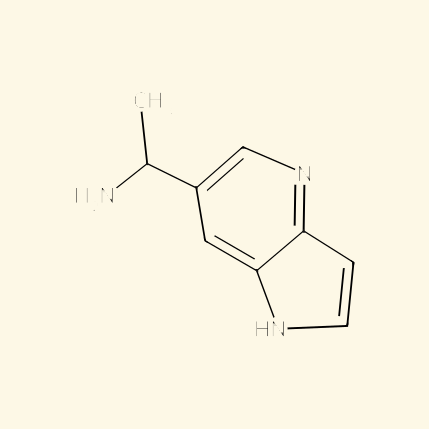 CC(N)c1cnc2cc[nH]c2c1